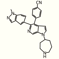 Cn1ncc2cc(-c3ncc4c(ccn4C4CCCNCC4)c3-c3ccc(C#N)cc3)ccc21